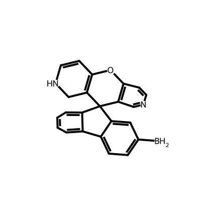 Bc1ccc2c(c1)C1(C3=C(C=CNC3)Oc3ccncc31)c1ccccc1-2